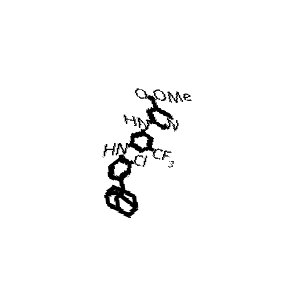 COC(=O)c1cncc(Nc2cc(Nc3ccc(C45CC6CC(CC(C6)C4)C5)cc3Cl)cc(C(F)(F)F)c2)c1